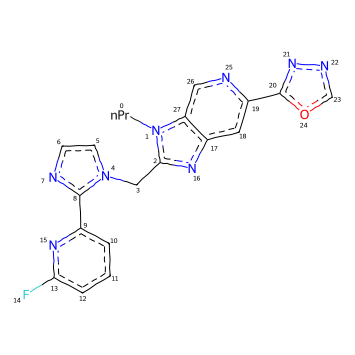 CCCn1c(Cn2ccnc2-c2cccc(F)n2)nc2cc(-c3nnco3)ncc21